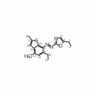 CCc1cnc(/N=N/c2c(CC)cc(O)c3cc(C)sc23)o1